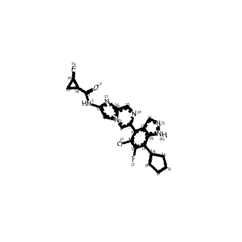 O=C(Nc1cn2cc(-c3c(Cl)c(F)c(C4CCCC4)c4[nH]ncc34)ncc2n1)C1CC1F